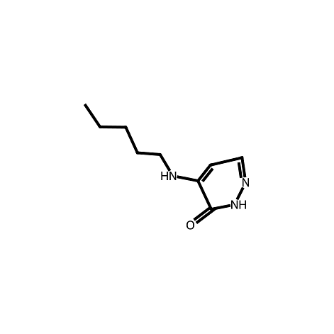 CCCCCNc1ccn[nH]c1=O